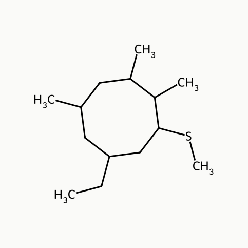 CCC1CC(C)CC(C)C(C)C(SC)C1